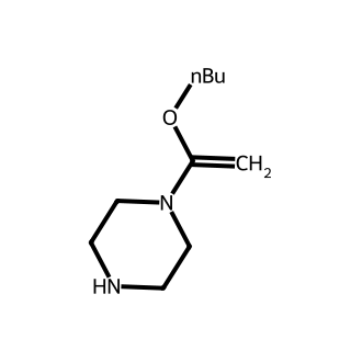 C=C(OCCCC)N1CCNCC1